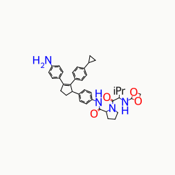 CC(C)C(NC1OCO1)C(=O)N1CCCC1C(=O)Nc1ccc(C2CCC(c3ccc(N)cc3)=C2c2ccc(C3CC3)cc2)cc1